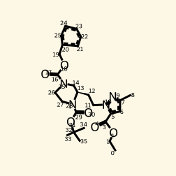 CCOC(=O)c1cc(C)nn1CC[C@@H]1CN(C(=O)OCc2ccccc2)CCN1C(=O)OC(C)(C)C